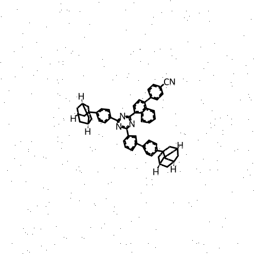 N#Cc1ccc(-c2ccc(-c3nc(-c4ccc(C56C[C@H]7C[C@@H](C5)C[C@@H](C6)C7)cc4)nc(-c4cccc(-c5ccc(C67C[C@H]8C[C@H](C6)C[C@@H](C7)C8)cc5)c4)n3)c3ccccc23)cc1